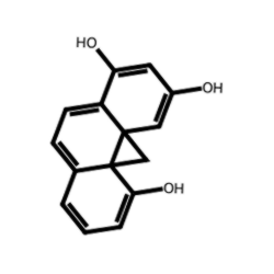 OC1=CC23CC24C(O)=CC=CC4=CC=C3C(O)=C1